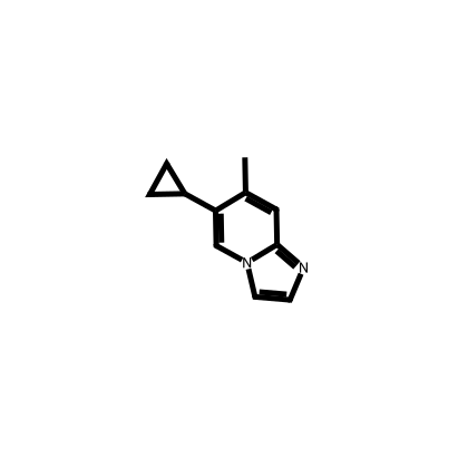 Cc1cc2nccn2cc1C1CC1